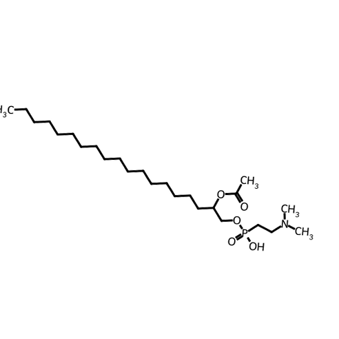 CCCCCCCCCCCCCCCCCC(COP(=O)(O)CCN(C)C)OC(C)=O